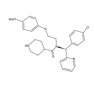 COc1ccc(OCCN(C(=O)C2CCNCC2)[C@@H](c2ccc(Cl)cc2)c2ccccn2)cc1